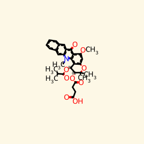 COc1cc2c(c3c1c(=O)c1cc4ccccc4cc1n3C)[C@@H](OC(=O)C(C)C)[C@@H](OC(=O)CCC(=O)O)C(C)(C)O2